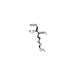 C/C=N/O/C=C/C(N)/C(C)=C/NC